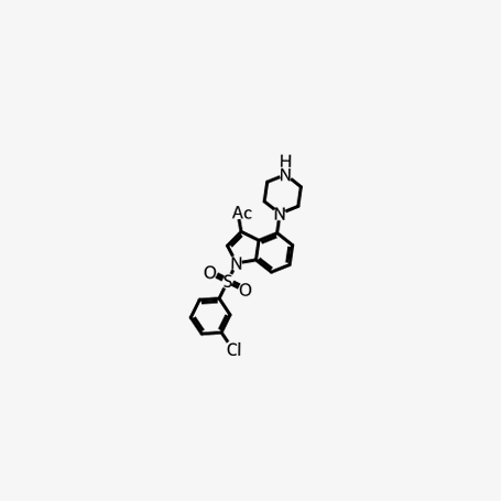 CC(=O)c1cn(S(=O)(=O)c2cccc(Cl)c2)c2cccc(N3CCNCC3)c12